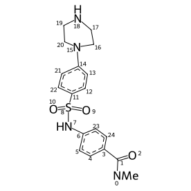 CNC(=O)c1ccc(NS(=O)(=O)c2ccc(N3CCNCC3)cc2)cc1